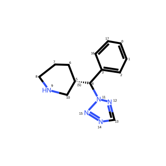 c1ccc(C([C@H]2CCCNC2)n2ncnn2)cc1